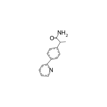 CC(C(N)=O)c1ccc(-c2ccccn2)cc1